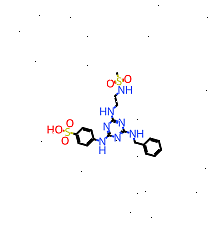 CS(=O)(=O)NCCNc1nc(NCc2ccccc2)nc(Nc2ccc(S(=O)(=O)O)cc2)n1